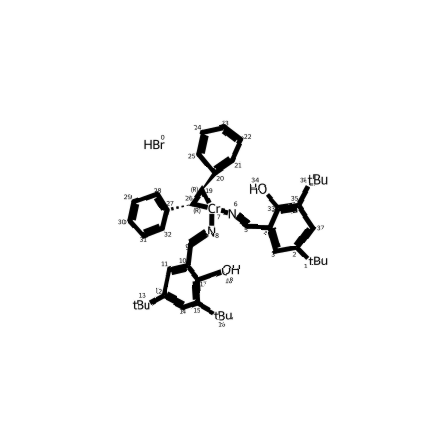 Br.CC(C)(C)c1cc(C=[N][Cr]2([N]=Cc3cc(C(C)(C)C)cc(C(C)(C)C)c3O)[C@H](c3ccccc3)[C@H]2c2ccccc2)c(O)c(C(C)(C)C)c1